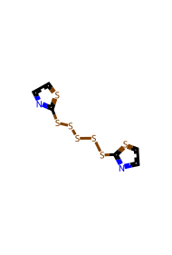 c1csc(SSSSSc2nccs2)n1